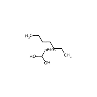 CCCCCC(O)O.CCCCCCC